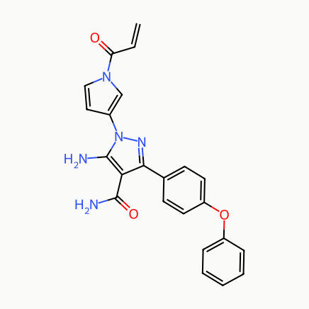 C=CC(=O)n1ccc(-n2nc(-c3ccc(Oc4ccccc4)cc3)c(C(N)=O)c2N)c1